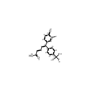 Cn1cc(C(=CC=CC(=O)O)c2ccc(C(F)(F)F)cc2)ccc1=O